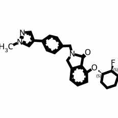 Cn1cc(-c2ccc(CN3Cc4cccc(O[C@H]5CCCC[C@@H]5F)c4C3=O)cc2)cn1